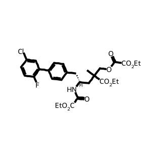 CCOC(=O)C(=O)N[C@H](Cc1ccc(-c2cc(Cl)ccc2F)cc1)CC(C)(COC(=O)C(=O)OCC)C(=O)OCC